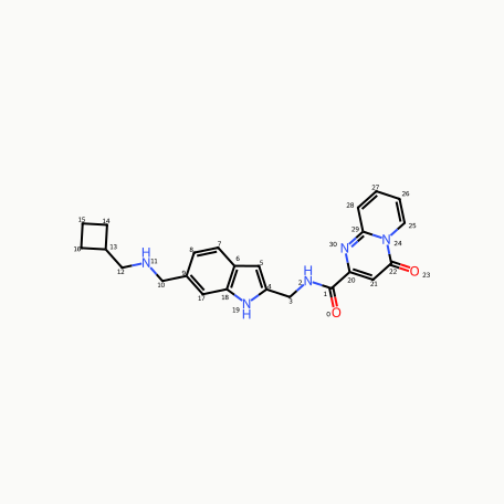 O=C(NCc1cc2ccc(CNCC3CCC3)cc2[nH]1)c1cc(=O)n2ccccc2n1